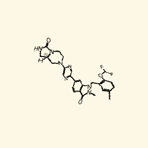 Cc1ccc(OC(F)F)c(Cn2c3cc(-c4cnc(N5CCN6C(=O)NC[C@H]6C5)cn4)ccc3c(=O)n2C)c1